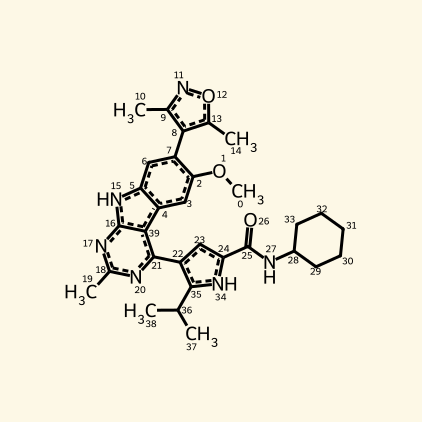 COc1cc2c(cc1-c1c(C)noc1C)[nH]c1nc(C)nc(-c3cc(C(=O)NC4CCCCC4)[nH]c3C(C)C)c12